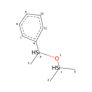 C[SiH](C)O[SiH](C)c1ccccc1